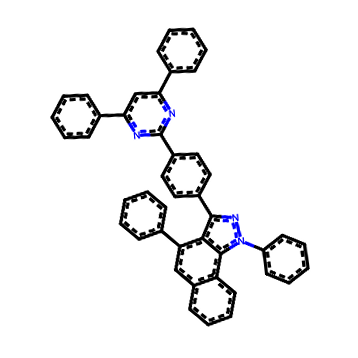 c1ccc(-c2cc(-c3ccccc3)nc(-c3ccc(-c4nn(-c5ccccc5)c5c4c(-c4ccccc4)cc4ccccc45)cc3)n2)cc1